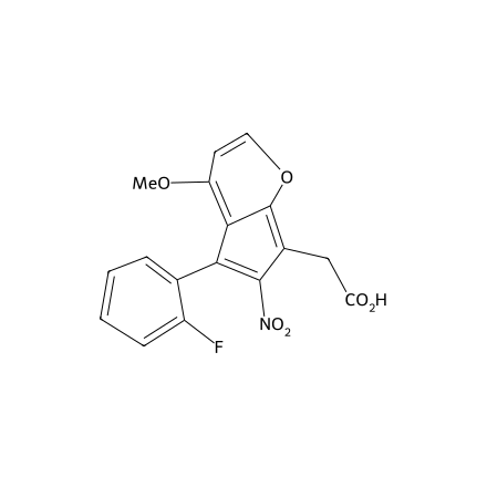 COc1ccoc2c(CC(=O)O)c([N+](=O)[O-])c(-c3ccccc3F)c1-2